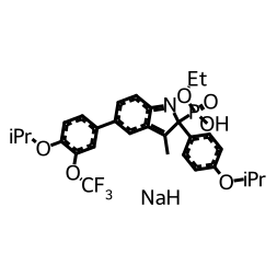 CCOP(=O)(O)C1(c2ccc(OC(C)C)cc2)N=c2ccc(-c3ccc(OC(C)C)c(OC(F)(F)F)c3)cc2=C1C.[NaH]